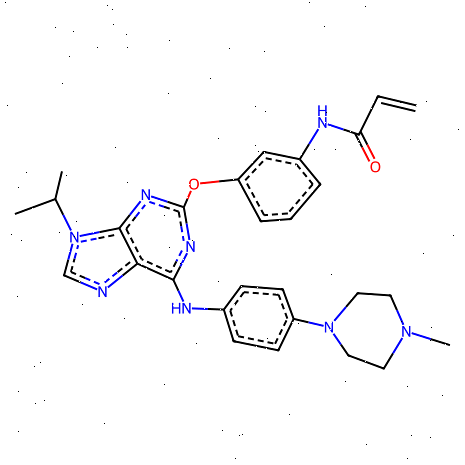 C=CC(=O)Nc1cccc(Oc2nc(Nc3ccc(N4CCN(C)CC4)cc3)c3ncn(C(C)C)c3n2)c1